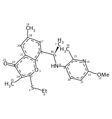 CCSc1oc2c([C@@H](C)Nc3ccc(OC)nc3C)cc(C)cc2c(=O)c1C